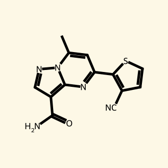 Cc1cc(-c2sccc2C#N)nc2c(C(N)=O)cnn12